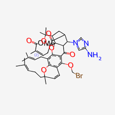 COC(=O)/C(C)=C\CC12OC(C)(C)C3CC(C1=O)C(n1cnc(N)c1)C1C(=O)c4c(OCBr)c5c(c(CC=C(C)C)c4OC132)OC(C)(CCC=C(C)C)C=C5